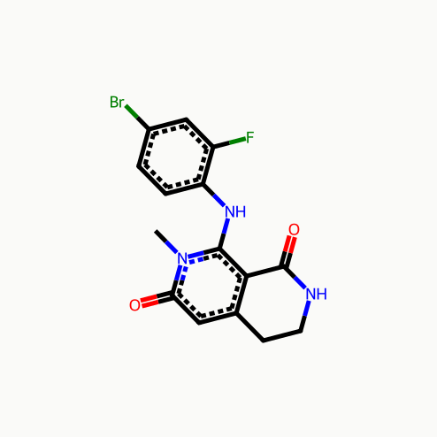 Cn1c(Nc2ccc(Br)cc2F)c2c(cc1=O)CCNC2=O